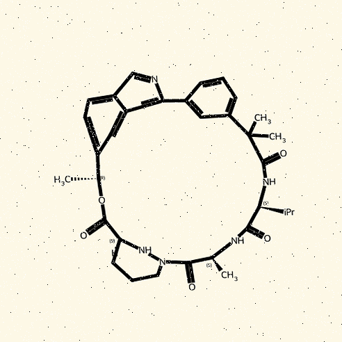 CC(C)[C@@H]1NC(=O)C(C)(C)c2cccc(c2)-c2cc3cc(ccc3cn2)[C@@H](C)OC(=O)[C@@H]2CCCN(N2)C(=O)[C@H](C)NC1=O